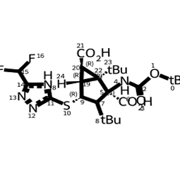 CC(C)(C)OC(=O)N[C@@]1(C(=O)O)C(C(C)(C)C)[C@H](Sc2nnc(C(F)F)[nH]2)[C@@H]2[C@@H](C(=O)O)[C@]21C(C)(C)C